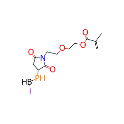 C=C(C)C(=O)OCCOCCN1C(=O)CC(PBI)C1=O